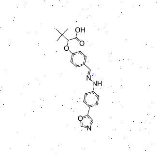 CC(C)(C)C(Oc1ccc(/C=N/Nc2ccc(-c3cnco3)cc2)cc1)C(=O)O